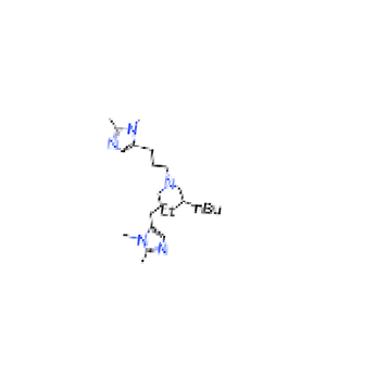 CCCCC(CC)CN(CCCc1cnc(C)n1C)CCCc1cnc(C)n1C